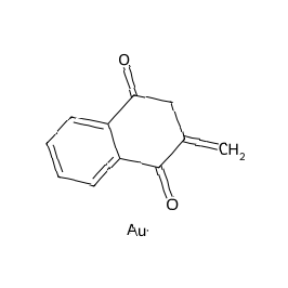 C=C1CC(=O)c2ccccc2C1=O.[Au]